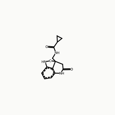 O=C1CC2(CNC(=O)C3CC3)CNc3cccc(c32)N1